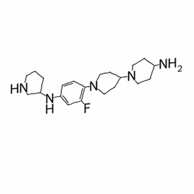 NC1CCN(C2CCN(c3ccc(NC4CCCNC4)cc3F)CC2)CC1